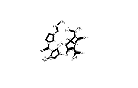 CNC[C@@H]1CCN(C(=O)[C@@H]2C[C@H](SC3=C(C(=O)O)N4C(=O)[C@H]([C@@H](C)O)[C@H]4[C@H]3C)CN2C)C1